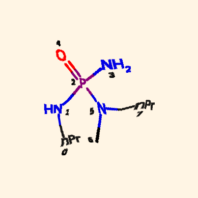 CCCNP(N)(=O)N(C)CCC